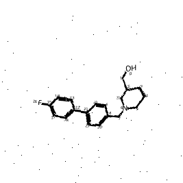 OCC1CCCN(Cc2ccc(-c3ccc(F)cc3)cc2)C1